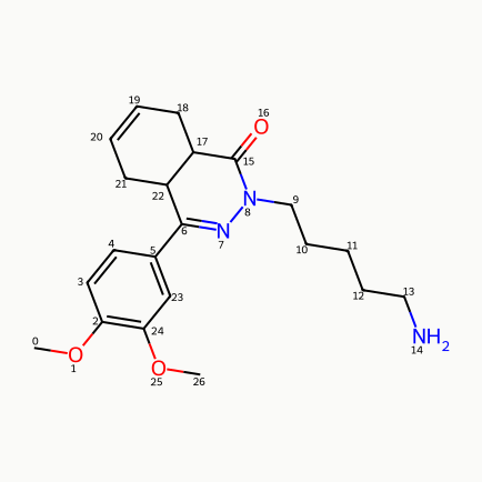 COc1ccc(C2=NN(CCCCCN)C(=O)C3CC=CCC23)cc1OC